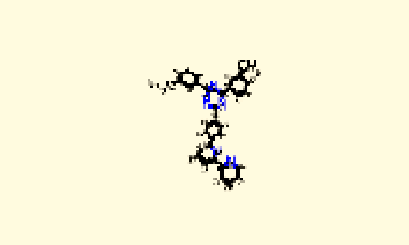 Cc1cccc(-c2nc(-c3ccc(-c4cccc(-c5ccccn5)n4)cc3)nc(-c3cccc(C)c3)n2)c1